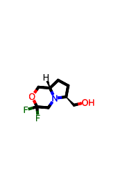 OC[C@@H]1CC[C@H]2COC(F)(F)CN12